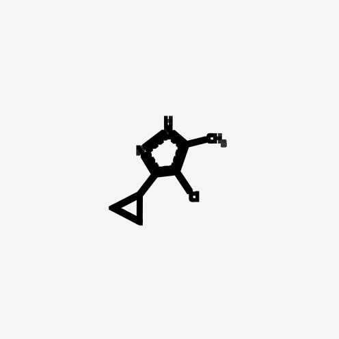 Cc1[nH]nc(C2CC2)c1Cl